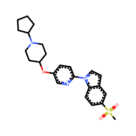 CS(=O)(=O)c1ccc2c(ccn2-c2ccc(OC3CCN(C4CCCC4)CC3)cn2)c1